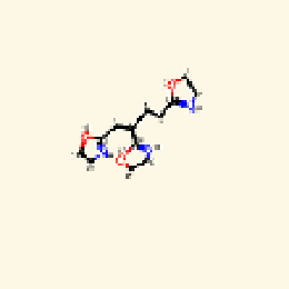 C1COC(CCC(CC2=NCCO2)C2=NCCO2)=N1